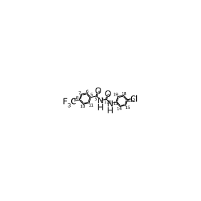 O=C(NC(=O)c1ccc(C(F)(F)F)cc1)Nc1ccc(Cl)cc1